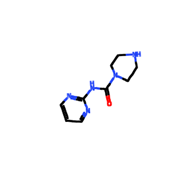 O=C(Nc1ncccn1)N1CCNCC1